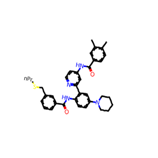 CCCSCc1cccc(C(=O)Nc2ccc(N3CCCCC3)cc2-c2cc(NC(=O)c3ccc(C)c(C)c3)ccn2)c1